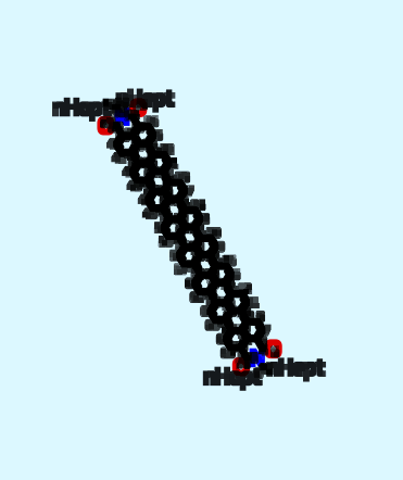 CCCCCCCC(CCCCCCC)N1C(=O)c2ccc3c4ccc5c6ccc7c8ccc9c%10ccc%11c%12ccc%13c%14ccc%15c%16ccc%17c%18c(ccc(c%19ccc(c%20ccc(c%21ccc(c%22ccc(c%23ccc(c%24ccc(c%25ccc(c2c3%25)C1=O)c4c5%24)c6c7%23)c8c9%22)c%10c%11%21)c%12c%13%20)c%14c%15%19)c%18%16)C(=O)N(C(CCCCCCC)CCCCCCC)C%17=O